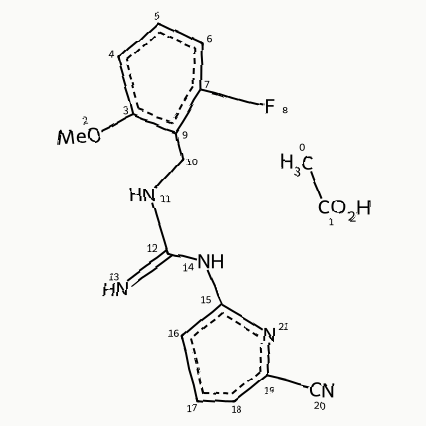 CC(=O)O.COc1cccc(F)c1CNC(=N)Nc1cccc(C#N)n1